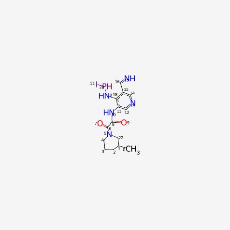 CC1CCCN(C(=O)C(=O)Nc2cncc(C=N)c2NPI)C1